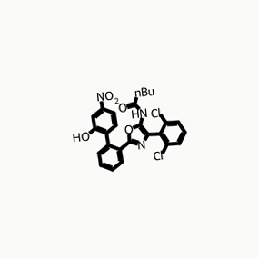 CCCCC(=O)Nc1oc(-c2ccccc2-c2ccc([N+](=O)[O-])cc2O)nc1-c1c(Cl)cccc1Cl